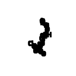 COc1ccc2c(c1)c(CC(=O)OCC[S+]([O-])CC(=O)NCCCOc1cccc(CN3CCCCC3)c1)c(C)n2C(=O)c1ccc(Cl)cc1